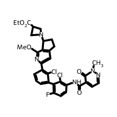 CCOC(=O)C1CN(C2CCc3cc(-c4cccc(-c5c(F)ccc(NC(=O)c6ccnn(C)c6=O)c5Cl)c4Cl)nc(OC)c32)C1